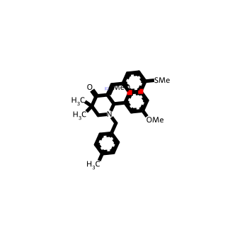 COc1ccc(OC)c(C2/C(=C\c3ccc(SC)cc3)C(=O)C(C)(C)CN2Cc2ccc(C)cc2)c1